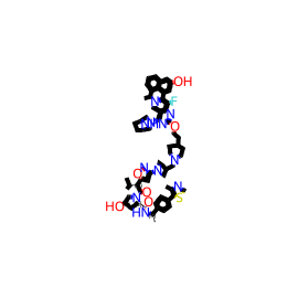 CCc1cccc2cc(O)cc(-c3ncc4c(N5CC6CCC(C5)N6)nc(OCCC5CCN(CC6CN(c7cc([C@H](C(=O)N8C[C@H](O)C[C@H]8C(=O)N[C@@H](C)c8ccc(-c9scnc9C)cc8)C(C)C)on7)C6)CC5)nc4c3F)c12